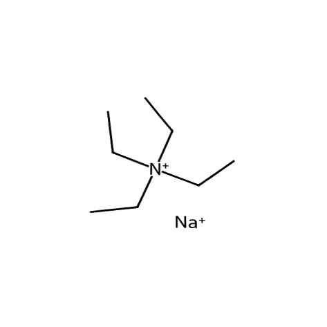 CC[N+](CC)(CC)CC.[Na+]